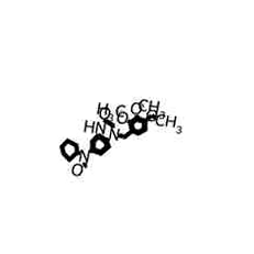 COc1ccc(CN2CC(=O)Nc3cc(N(C=O)C4CCCCC4)ccc32)c(OC)c1OC